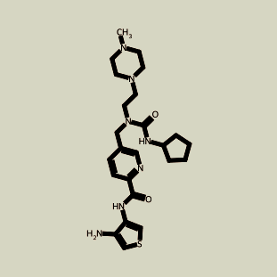 CN1CCN(CCN(Cc2ccc(C(=O)Nc3cscc3N)nc2)C(=O)NC2CCCC2)CC1